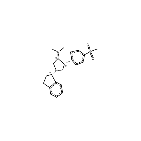 CN(C)[C@@H]1CN([C@H]2CCc3ccccc32)C[C@H]1c1ccc(S(C)(=O)=O)cc1